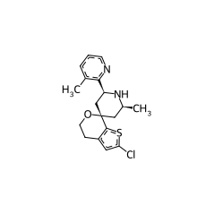 Cc1cccnc1[C@@H]1C[C@]2(C[C@H](C)N1)OCCc1cc(Cl)sc12